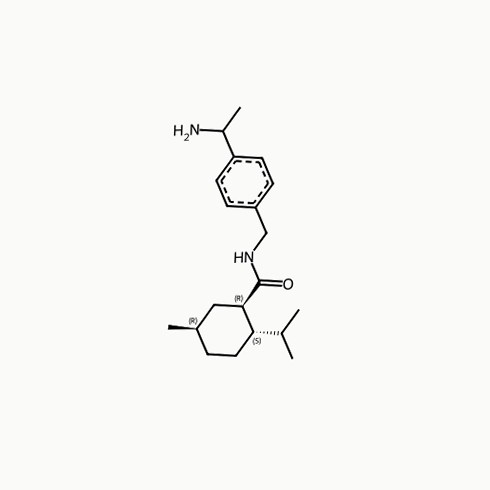 CC(N)c1ccc(CNC(=O)[C@@H]2C[C@H](C)CC[C@H]2C(C)C)cc1